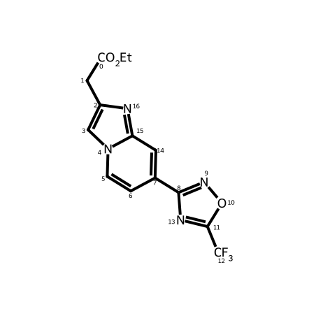 CCOC(=O)Cc1cn2ccc(-c3noc(C(F)(F)F)n3)cc2n1